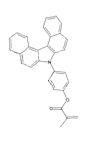 C=C(C)C(=O)Oc1ccc(-n2c3ccc4ccccc4c3c3c4ccccc4ccc32)cc1